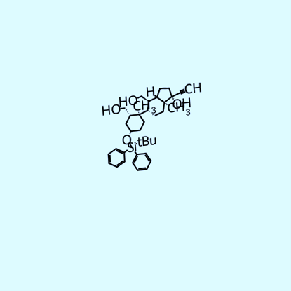 C#C[C@]1(O)CC[C@H]2[C@H](CO)[C@@H]([C@@]3(C)CC[C@H](O[Si](c4ccccc4)(c4ccccc4)C(C)(C)C)C[C@@H]3CO)CC[C@@]21C